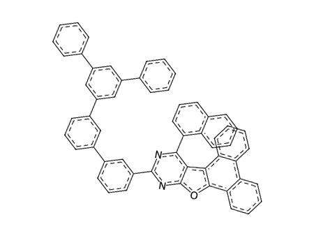 c1ccc(-c2cc(-c3ccccc3)cc(-c3cccc(-c4cccc(-c5nc(-c6cccc7ccccc67)c6c(n5)oc5c7ccccc7c7ccccc7c56)c4)c3)c2)cc1